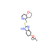 COc1ccc2[nH]c(SCc3nccc4c3CCCO4)nc2c1